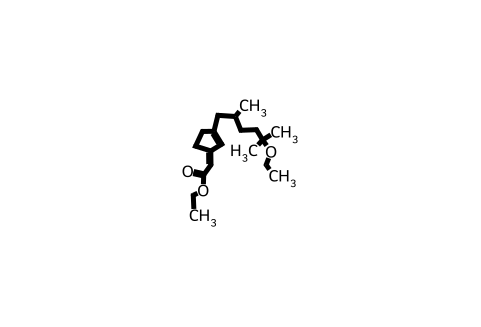 CCOC(=O)/C=C1/C=C(CC(C)CCC(C)(C)OCC)CC1